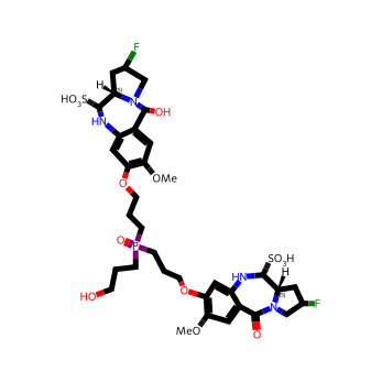 COc1cc2c(cc1OCCCP(=O)(CCCO)CCCOc1cc3c(cc1OC)C(O)N1CC(F)C[C@H]1C(S(=O)(=O)O)N3)NC(S(=O)(=O)O)[C@@H]1CC(F)CN1C2=O